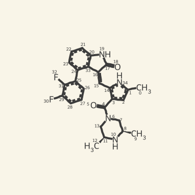 Cc1cc(C(=O)N2C[C@@H](C)N[C@@H](C)C2)c(/C=C2\C(=O)Nc3cccc(-c4cccc(F)c4F)c32)[nH]1